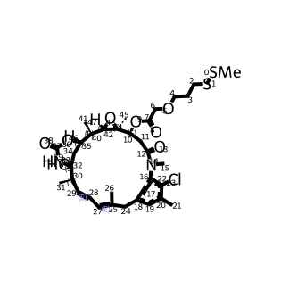 CSSCCCOCC(=O)O[C@H]1CC(=O)N(C)c2cc(cc(C)c2Cl)C/C(C)=C/C=C/[C@@H](C)[C@@]2(O)C[C@H](OC(=O)N2)[C@@H](C)[C@@H]2O[C@@]12C